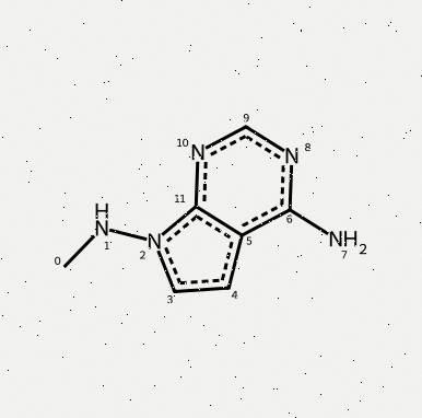 CNn1ccc2c(N)ncnc21